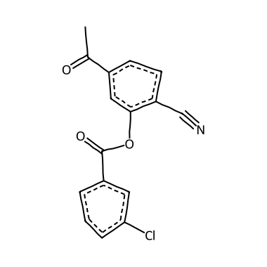 CC(=O)c1ccc(C#N)c(OC(=O)c2cccc(Cl)c2)c1